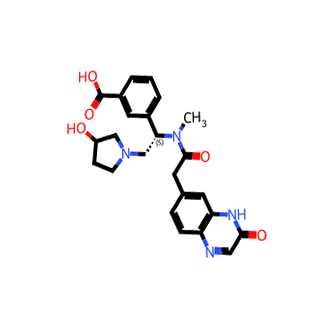 CN(C(=O)Cc1ccc2ncc(=O)[nH]c2c1)[C@H](CN1CCC(O)C1)c1cccc(C(=O)O)c1